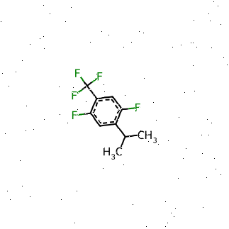 CC(C)c1cc(F)c(C(F)(F)F)cc1F